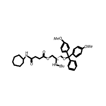 COc1ccc(C(OC[C@@H](COC(=O)CCC(=O)NC2CCCCCC2)NC(C)(C)C)(c2ccccc2)c2ccc(OC)cc2)cc1